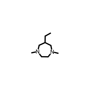 CCC1CN(C)CCN(C)C1